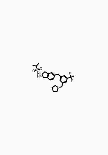 CC(C)S(=O)(=O)N[C@H]1Cc2ccc(Cc3cc(CN4CCCC4)cc(C(F)(F)F)c3)cc2C1